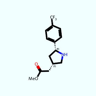 COC(=O)C[C@H]1CN[C@@H](c2ccc(C(F)(F)F)cc2)C1